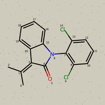 CC(C)=C1C(=O)N(c2c(Cl)cccc2Cl)c2ccccc21